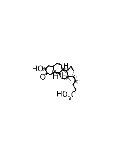 C[C@H](CCC(=O)O)[C@H]1CC[C@H]2[C@@H]3CCC4C[C@H](O)C(=O)C[C@]4(C)[C@H]3CC[C@]12C